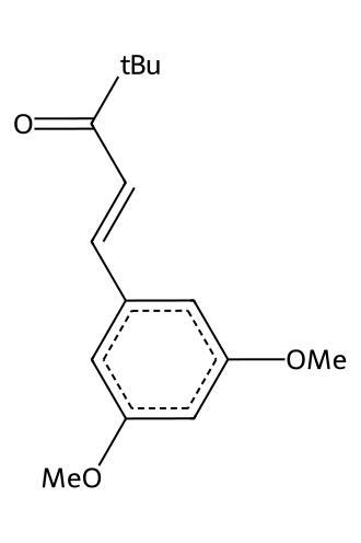 COc1cc(/C=C/C(=O)C(C)(C)C)cc(OC)c1